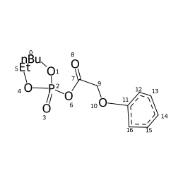 CCCCOP(=O)(OCC)OC(=O)COc1ccccc1